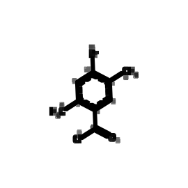 Cc1cc(C(=O)Cl)c(C)cc1Br